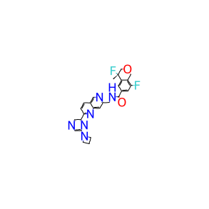 C[C@@]1(F)COCc2c(F)cc(C(=O)NCc3cc4nc(-c5cncc(N6CCC6)n5)ccc4cn3)cc21